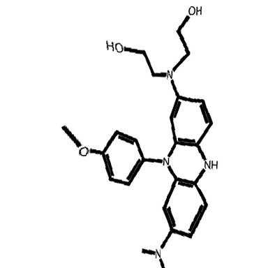 COc1ccc(N2c3cc(N(C)C)ccc3Nc3ccc(N(CCO)CCO)cc32)cc1